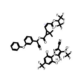 CC1(C)C(/C=C\C(=O)OC(C(F)(F)F)C(F)(F)F)C1C(=O)OC(C#N)c1cccc(Oc2ccccc2)c1.N#Cc1nn(-c2c(Cl)cc(C(F)(F)F)cc2Cl)c(N)c1[S+]([O-])C(F)(F)F